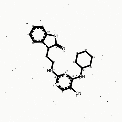 N#Cc1cnc(NCCC2C(=O)Nc3ccccc32)nc1NC1CCCCC1